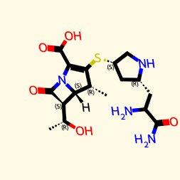 C[C@@H](O)[C@H]1C(=O)N2C(C(=O)O)=C(S[C@@H]3CN[C@H](CC(N)C(N)=O)C3)[C@H](C)[C@H]12